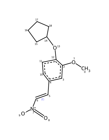 COc1cc(/C=C/[N+](=O)[O-])ccc1OC1CCCC1